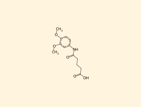 COc1ccc(NC(=O)CCCC(=O)O)cc1OC